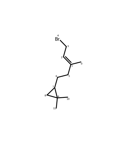 CC(=CCBr)CCC1CC1(C)C